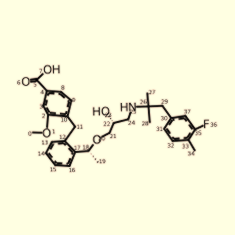 COc1cc(C(=O)O)ccc1Cc1ccccc1[C@@H](C)OC[C@H](O)CNC(C)(C)Cc1ccc(C)c(F)c1